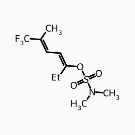 CC/C(=C\C=C(/C)C(F)(F)F)OS(=O)(=O)N(C)C